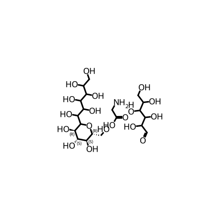 NCC(=O)O.O=CC(O)C(O)C(O)C(O)CO.OCC(O)C(O)C(O)C(O)C(O)C1O[C@H](CO)[C@@H](O)[C@H](O)[C@H]1O